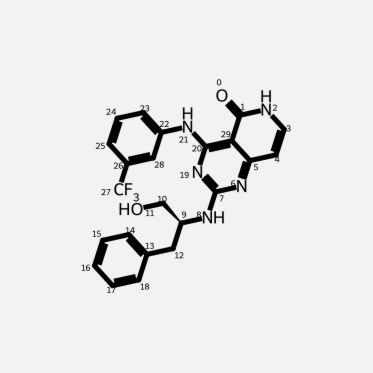 O=c1[nH]ccc2nc(N[C@H](CO)Cc3ccccc3)nc(Nc3cccc(C(F)(F)F)c3)c12